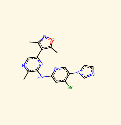 Cc1ncc(-c2c(C)noc2C)nc1Nc1cc(Br)c(-n2ccnc2)cn1